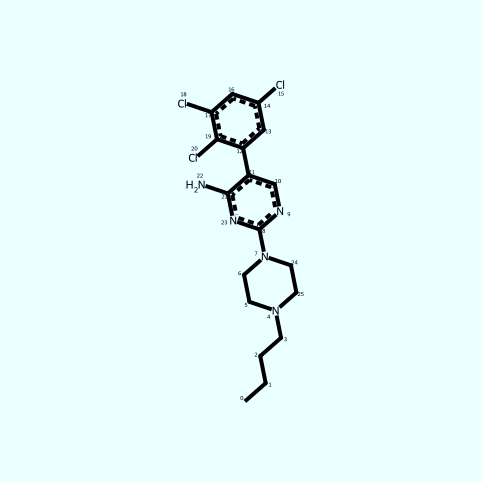 CCCCN1CCN(c2ncc(-c3cc(Cl)cc(Cl)c3Cl)c(N)n2)CC1